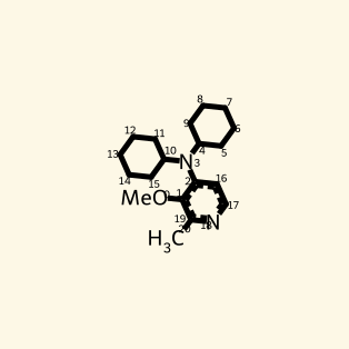 COc1c(N(C2CCCCC2)C2CCCCC2)ccnc1C